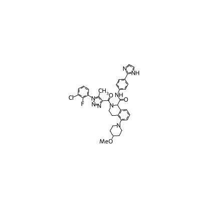 COC1CCN(c2cccc3c2CCN(C(=O)c2nnn(-c4cccc(Cl)c4F)c2C)C3C(=O)Nc2ccc(-c3ncc[nH]3)cc2)CC1